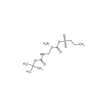 CCCS(=O)(=O)OC(=O)[C@@H](N)CNC(=O)OC(C)(C)C